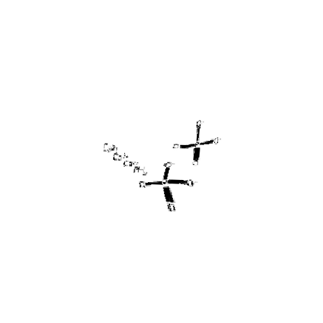 O=P([O-])([O-])[O-].O=P([O-])([O-])[O-].P.[Ca+2].[Ca+2].[Ca+2]